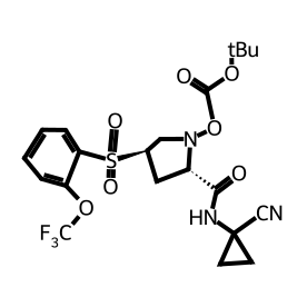 CC(C)(C)OC(=O)ON1C[C@H](S(=O)(=O)c2ccccc2OC(F)(F)F)C[C@H]1C(=O)NC1(C#N)CC1